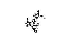 NC1C=C(c2nc(-c3ccc(Cl)cc3Cl)c(-c3ncc[nH]3)s2)N=CN1